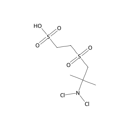 CC(C)(CS(=O)(=O)CCS(=O)(=O)O)N(Cl)Cl